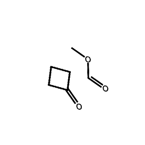 COC=O.O=C1CCC1